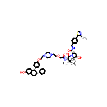 Cc1ncsc1-c1ccc(CNC(=O)[C@@H]2C[C@@H](O)CN2C(O)[C@@H](NC(=O)COCCN2CCN(CCOc3ccc([C@H]4c5ccc(O)cc5CC[C@H]4c4ccccc4)cc3)CC2)C(C)(C)C)cc1